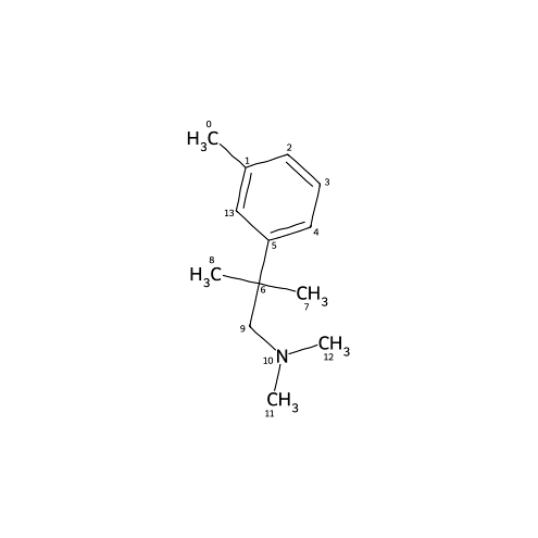 Cc1cccc(C(C)(C)CN(C)C)c1